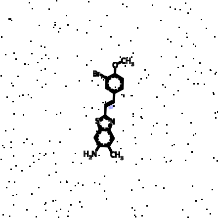 COc1ccc(/C=C/c2nc3cc(C)c(N)cc3s2)cc1Br